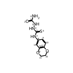 NC(=O)NNC(=S)Nc1ccc2c(c1)OCCO2